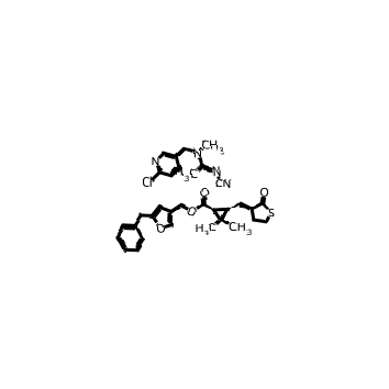 C/C(=N\C#N)N(C)Cc1ccc(Cl)nc1.CC1(C)[C@H](/C=C2\CCSC2=O)[C@@H]1C(=O)OCc1coc(Cc2ccccc2)c1